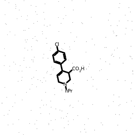 CCCN1CC=C(c2ccc(Cl)cc2)C(C(=O)O)C1